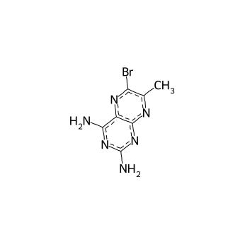 Cc1nc2nc(N)nc(N)c2nc1Br